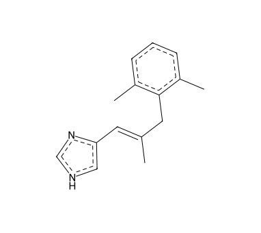 CC(=Cc1c[nH]cn1)Cc1c(C)cccc1C